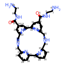 NCCNC(=O)c1cc2nc(c1)-c1cc(C(=O)NCCN)cc(n1)CNCc1cccc(n1)-c1cccc(n1)CNC2